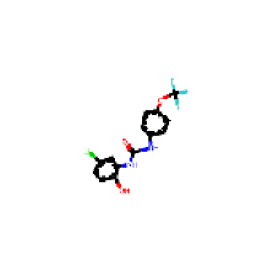 O=C(Nc1ccc(OC(F)(F)F)cc1)Nc1cc(Cl)ccc1O